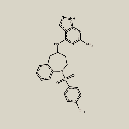 Cc1ccc(S(=O)(=O)N2CCC(Nc3nc(N)nc4[nH]ncc34)Cc3ccccc32)cc1